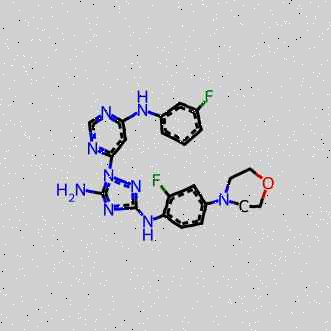 Nc1nc(Nc2ccc(N3CCOCC3)cc2F)nn1-c1cc(Nc2cccc(F)c2)ncn1